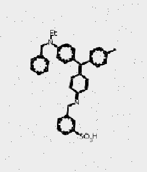 CCN(Cc1ccccc1)c1ccc(C(=C2C=CC(=NCc3cccc(S(=O)(=O)O)c3)C=C2)c2ccc(C)cc2)cc1